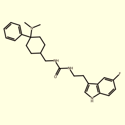 CN(C)C1(c2ccccc2)CCC(CNC(=O)NCCc2c[nH]c3ccc(F)cc23)CC1